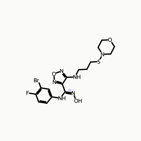 O/N=C(\Nc1ccc(F)c(Br)c1)c1nonc1NCCCSN1CCOCC1